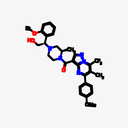 CCOc1ccccc1[C@@H](CO)N1CCN(C(=O)c2cnn3c(C(F)(F)F)c(C)c(-c4ccc(OC)cc4)nc23)[C@H](C)C1